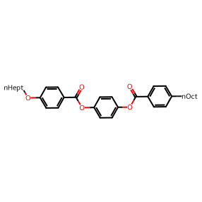 CCCCCCCCc1ccc(C(=O)Oc2ccc(OC(=O)c3ccc(OCCCCCCC)cc3)cc2)cc1